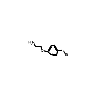 CCSc1ccc(OCCN)cc1